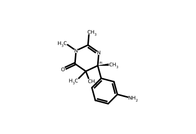 CC1=N[C@](C)(c2cccc(N)c2)C(C)(C)C(=O)N1C